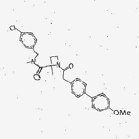 COc1ccc(-c2ccc(CC(=O)N3CCC3(C)C(=O)N(C)Cc3ccc(Cl)cc3)cc2)cc1